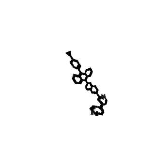 C1=C(c2c3ccccc3c(-c3ccc4cc(-c5cc(-c6ccncc6)ccn5)ccc4c3)c3ccccc23)CCC(C2CC2)=C1